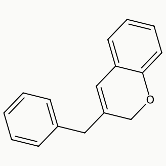 C1=C(Cc2ccccc2)COc2ccccc21